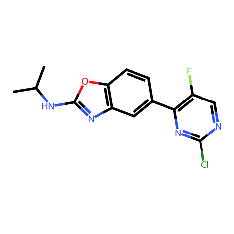 CC(C)Nc1nc2cc(-c3nc(Cl)ncc3F)ccc2o1